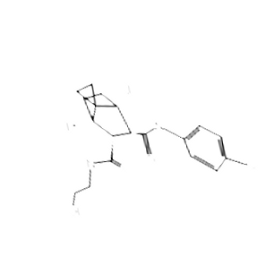 O=C(NCCO)[C@@H]1[C@H](C(=O)Nc2ccc(Br)cc2)[C@@H]2CC[C@H]1C21CC1